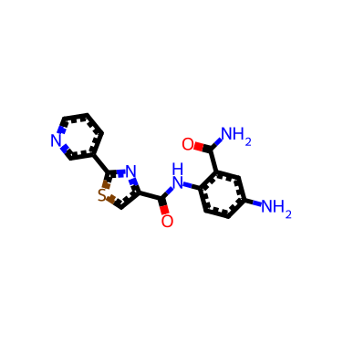 NC(=O)c1cc(N)ccc1NC(=O)c1csc(-c2cccnc2)n1